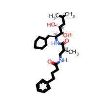 CC(C)C[C@@H](O)[C@@H](O)[C@H](CC1CCCCC1)NC(=O)[C@@H](C)CNC(=O)CCCc1ccccc1